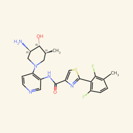 Cc1ccc(F)c(-c2nc(C(=O)Nc3cnccc3N3C[C@@H](N)[C@H](O)[C@@H](C)C3)cs2)c1F